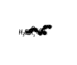 CC(C)(C)OC(=O)N1CCC(C(=O)N2CCC(COc3cccc(C(C(=O)OCC4CCN(Cc5ccccc5)CC4)c4ccccc4)c3)CC2)CC1